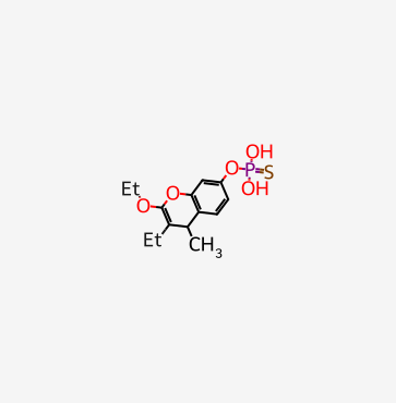 CCOC1=C(CC)C(C)c2ccc(OP(O)(O)=S)cc2O1